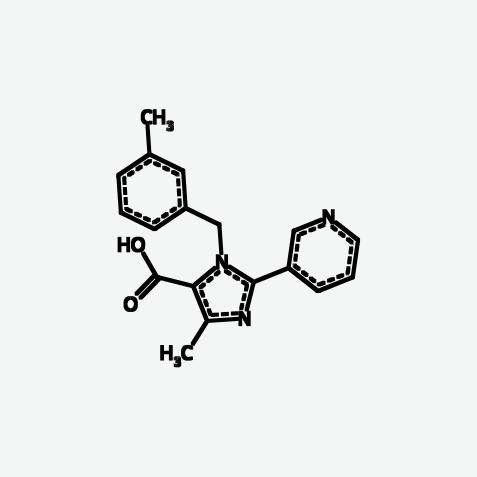 Cc1cccc(Cn2c(-c3cccnc3)nc(C)c2C(=O)O)c1